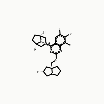 O=C(O)N1[C@@H]2CC[C@H]1CN(c1nc(OC[C@@]34CCCN3C[C@H](F)C4)nc3c(F)c(Br)c(I)cc13)C2